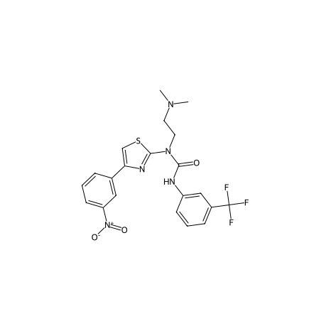 CN(C)CCN(C(=O)Nc1cccc(C(F)(F)F)c1)c1nc(-c2cccc([N+](=O)[O-])c2)cs1